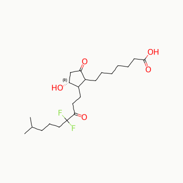 CC(C)CCCC(F)(F)C(=O)CCC1C(CCCCCCC(=O)O)C(=O)C[C@H]1O